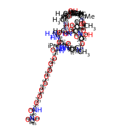 CO[C@H]1/C=C/O[C@@]2(C)Oc3c(C)c(O)c4c(=O)c(c5oc6cc(OCC[N+](C)(C)Cc7ccc(NC(=O)[C@H](CCCNC(N)=O)NC(=O)[C@@H](NC(=O)CCOCCOCCOCCOCCOCCOCCOCCOCCNC(=O)CCN8C(=O)C=CC8=O)C(C)C)cc7)cc(O)c6nc-5c4c3C2=O)NC(=O)/C(C)=C\C=C\[C@H](C)[C@@H]2O[C@H]([C@H](O)[C@@H]2C)[C@H](OC(C)=O)[C@@H]1C